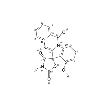 COc1ccccc1C1(c2nc3ccccc3c(=O)n2C)SC(=O)N(C)C1=O